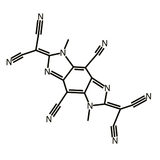 Cn1c(=C(C#N)C#N)nc2c(C#N)c3c(nc(=C(C#N)C#N)n3C)c(C#N)c21